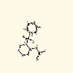 CC(=O)OC1CCCCC1C(C)(C)c1ccccc1